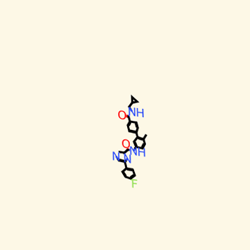 Cc1ccc(NC(=O)c2cncc(-c3ccc(F)cc3)n2)cc1-c1ccc(C(=O)NCC2CC2)cc1